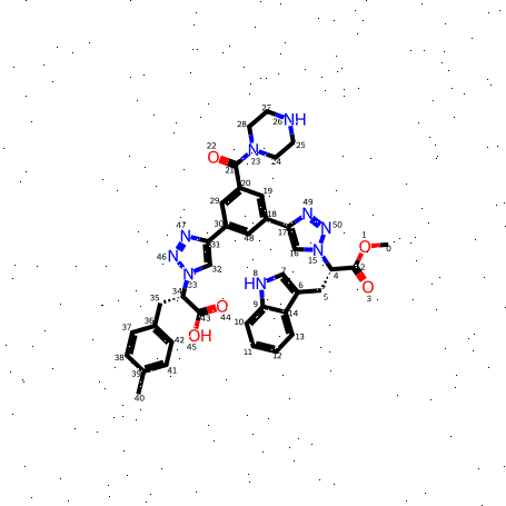 COC(=O)[C@H](Cc1c[nH]c2ccccc12)n1cc(-c2cc(C(=O)N3CCNCC3)cc(-c3cn([C@@H](Cc4ccc(C)cc4)C(=O)O)nn3)c2)nn1